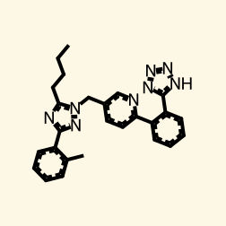 CCCCc1nc(-c2ccccc2C)nn1Cc1ccc(-c2ccccc2-c2nnn[nH]2)nc1